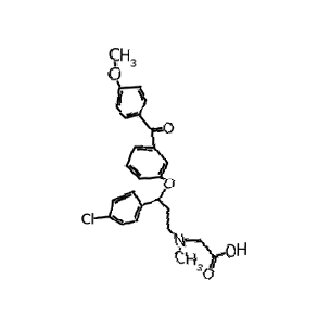 COc1ccc(C(=O)c2cccc(OC(CCN(C)CC(=O)O)c3ccc(Cl)cc3)c2)cc1